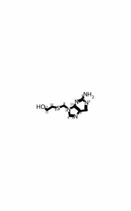 Nc1ncc2ncn(CSCCO)c2n1